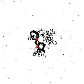 COC(=O)[C@H]1[C@@H](c2ccc(I)cc2)C[C@@H]2CC[C@H]1N2CCCOS(C)(=O)=O.CS(=O)(=O)OS(C)(=O)=O